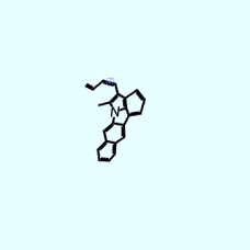 C=C/C=C\c1c(C)n2c3cc4ccccc4cc3c3cccc1c32